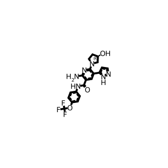 Nc1nc(N2CC[C@@H](O)C2)c(-c2ccn[nH]2)cc1C(=O)Nc1ccc(OC(F)(F)F)cc1